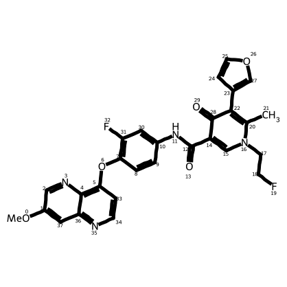 COc1cnc2c(Oc3ccc(NC(=O)c4cn(CCF)c(C)c(-c5ccoc5)c4=O)cc3F)ccnc2c1